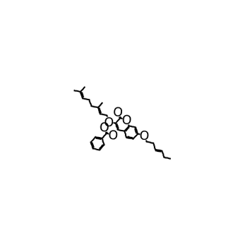 CC/C=C/CCOc1ccc2c(OC(=O)c3ccccc3)c(OC/C=C(\C)CCC=C(C)C)c(=O)oc2c1